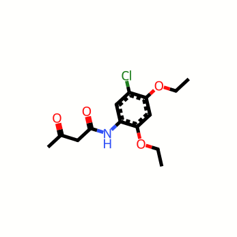 CCOc1cc(OCC)c(NC(=O)CC(C)=O)cc1Cl